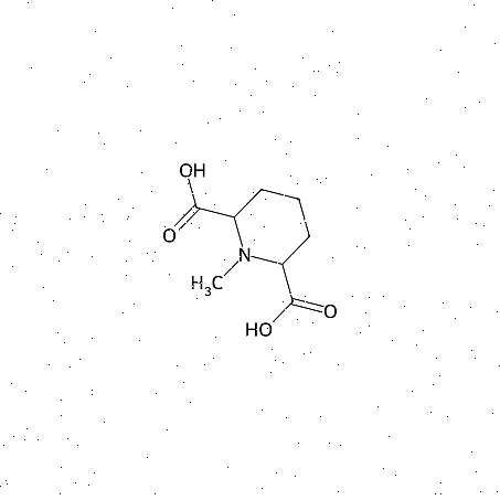 CN1C(C(=O)O)CCCC1C(=O)O